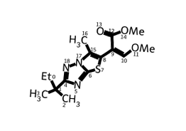 CCC(C)(C)c1nc2sc(C(=COC)C(=O)OC)c(C)n2n1